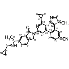 C[C@H](NCC1CC1)c1ccc2c(c1)C(=O)N(c1cc(-c3ccc(C#N)cc3-c3nncn3C)cc(C3CC3)n1)C2